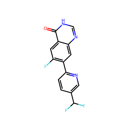 O=c1[nH]cnc2cc(-c3ccc(C(F)F)cn3)c(F)cc12